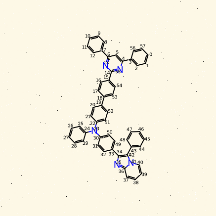 c1ccc(-c2cc(-c3ccccc3)nc(-c3ccc(-c4ccc(N(c5ccccc5)c5ccc(-c6nc7ccccn7c6-c6ccccc6)cc5)cc4)cc3)n2)cc1